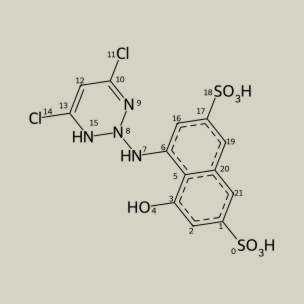 O=S(=O)(O)c1cc(O)c2c(NN3N=C(Cl)C=C(Cl)N3)cc(S(=O)(=O)O)cc2c1